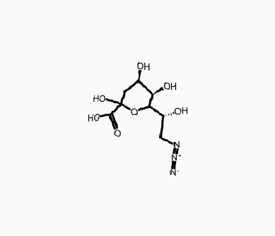 [N-]=[N+]=NC[C@@H](O)C1OC(O)(C(=O)O)C[C@@H](O)[C@H]1O